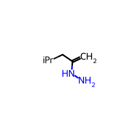 C=C(CC(C)C)NN